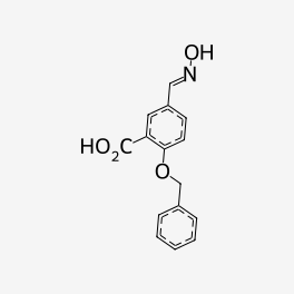 O=C(O)c1cc(C=NO)ccc1OCc1ccccc1